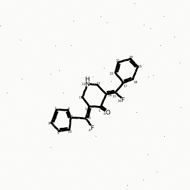 O=C1/C(=C(\F)c2ccccc2)CNC/C1=C(/F)c1ccccc1